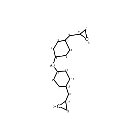 C1CC(OC2CCC(CC3CO3)CC2)CCC1CC1CO1